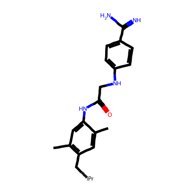 Cc1cc(NC(=O)CNc2ccc(C(=N)N)cc2)c(C)cc1CC(C)C